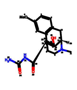 COc1ccc2c(c1)[C@]13CCN(C)[C@H](C2)[C@]1(O)CC[C@@H](C(=O)NC(N)=O)C3